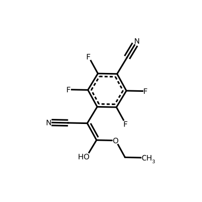 CCOC(O)=C(C#N)c1c(F)c(F)c(C#N)c(F)c1F